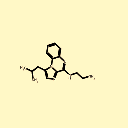 CC(C)Cc1cnc2c(NCCN)nc3ccccc3n12